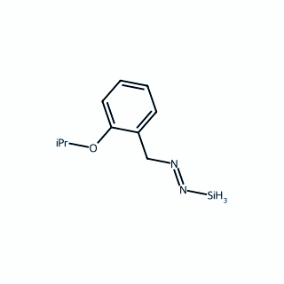 CC(C)Oc1ccccc1CN=N[SiH3]